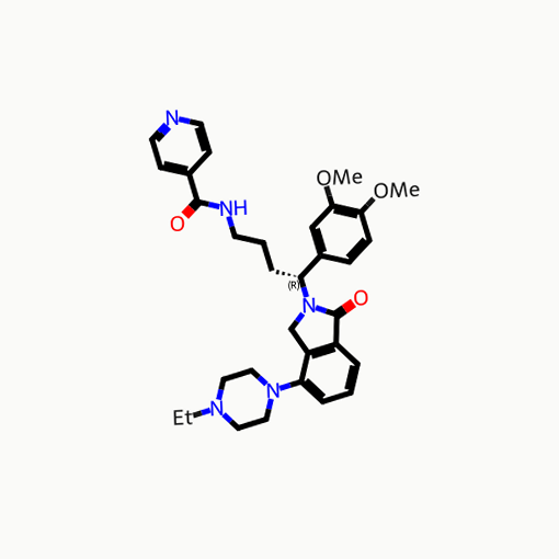 CCN1CCN(c2cccc3c2CN([C@H](CCCNC(=O)c2ccncc2)c2ccc(OC)c(OC)c2)C3=O)CC1